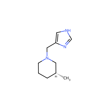 C[C@@H]1CCCN(Cc2c[nH]cn2)C1